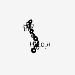 Cc1ccccc1NC(=O)Nc1ccc(COc2ccc(CC(NC(=O)Cc3ccccc3)C(=O)O)cc2)cc1